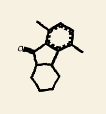 Cc1ccc(C)c2c1C(=O)C1CCCCC21